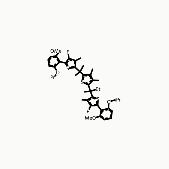 CCC(C)(c1sc(C(C)(C)c2sc(-c3c(OC)cccc3OC(C)C)c(F)c2C)c(C)c1C)c1sc(-c2c(OC)cccc2OC(C)C)c(F)c1C